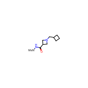 CNNC(=O)C1CN(CC2CCC2)C1